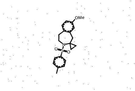 COc1ccc2c(c1)CC1(CC1)N(S(=O)(=O)c1ccc(C)cc1)CC2